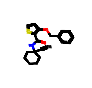 C#CC1(NC(=O)c2sccc2OCc2ccccc2)CCCCC1